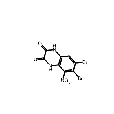 CCc1cc2[nH]c(=O)c(=O)[nH]c2c([N+](=O)[O-])c1Br